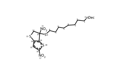 CCCCCCCCCCCCCCCCCCSC1([N+](=O)[O-])CSc2cc([N+](=O)[O-])sc21